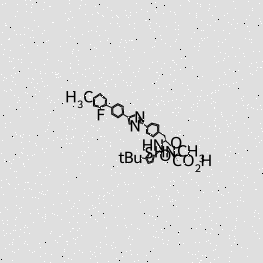 Cc1ccc(-c2ccc(-c3cnc(-c4ccc(C[C@H](NC(=O)c5ccc(C(C)(C)C)s5)C(=O)N[C@H](C)C(=O)O)cc4)nc3)cc2)c(F)c1